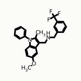 COc1ccc2c(c1)c(CNCc1cccc(C(F)(F)F)c1)c(C)n2-c1ccccc1